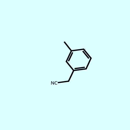 Cc1[c]ccc(CC#N)c1